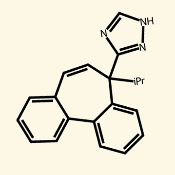 CC(C)C1(c2nc[nH]n2)C=Cc2ccccc2-c2ccccc21